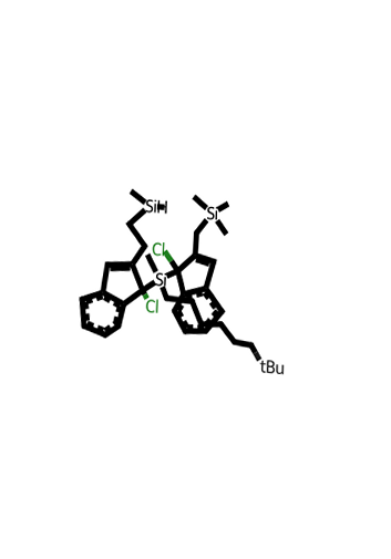 C[SiH](C)CCC1=Cc2ccccc2C1(Cl)[Si](C)(CCCCCCC(C)(C)C)C1(Cl)C(C[Si](C)(C)C)=Cc2ccccc21